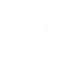 [O-]CCCl.[O-]CCCl.[O-]CCCl.[O-]CCCl.[Zr+4]